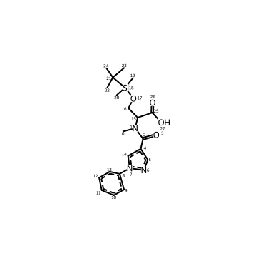 CN(C(=O)c1cnn(-c2ccccc2)c1)C(CO[Si](C)(C)C(C)(C)C)C(=O)O